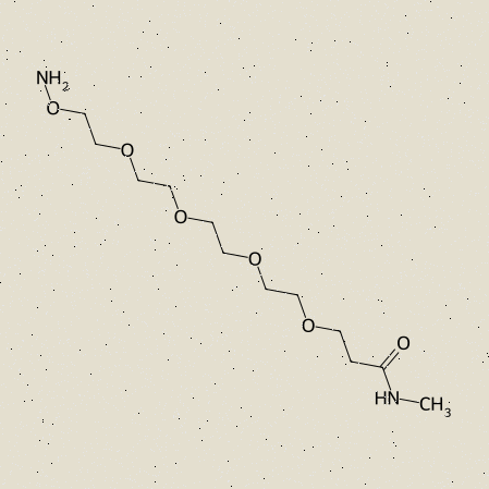 CNC(=O)CCOCCOCCOCCOCCON